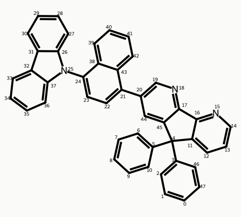 c1ccc(C2(c3ccccc3)c3cccnc3-c3ncc(-c4ccc(-n5c6ccccc6c6ccccc65)c5ccccc45)cc32)cc1